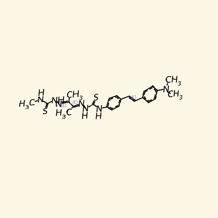 CNC(=S)N/N=C(C)/C(C)=N/NC(=S)Nc1ccc(/C=C/c2ccc(N(C)C)cc2)cc1